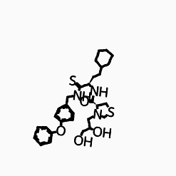 O=C(N[C@H](CCC1CCCCC1)C(=S)NCc1ccc(Oc2ccccc2)cc1)[C@@H]1CSCN1CC(O)CO